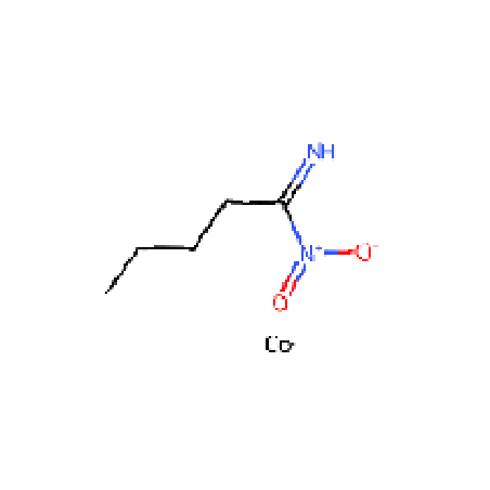 CCCCC(=N)[N+](=O)[O-].[Co]